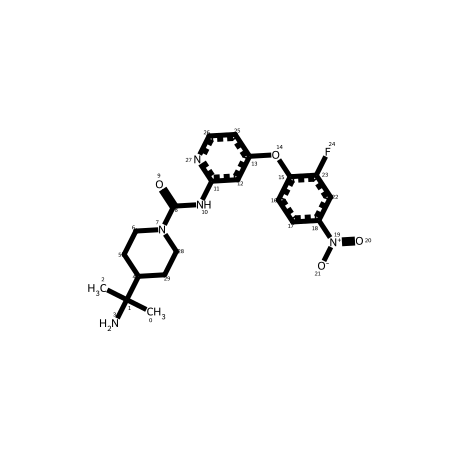 CC(C)(N)C1CCN(C(=O)Nc2cc(Oc3ccc([N+](=O)[O-])cc3F)ccn2)CC1